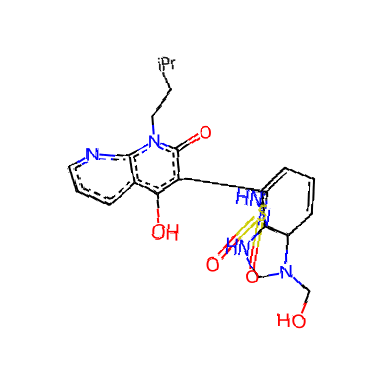 CC(C)CCn1c(=O)c(C2=NS(=O)(=O)C34NCN(CO)C3C=CC=C4N2)c(O)c2cccnc21